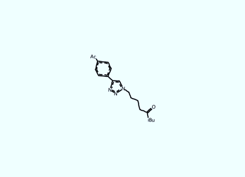 CCC(C)C(=O)CCCCn1cc(-c2ccc(C(C)=O)cc2)nn1